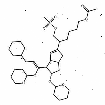 CC(=O)OCCCCC(COS(C)(=O)=O)C1=CC2C(C1)C[C@H](OC1CCCCO1)[C@H]2C(=CCC1CCCCC1)OC1CCCCO1